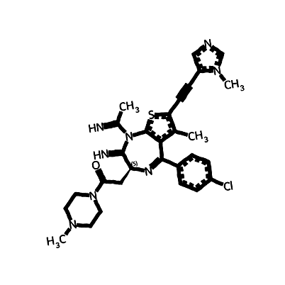 CC(=N)N1C(=N)[C@H](CC(=O)N2CCN(C)CC2)N=C(c2ccc(Cl)cc2)c2c1sc(C#Cc1cncn1C)c2C